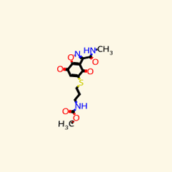 CNC(=O)c1noc2c1C(=O)C(SCCCNC(=O)OC)=CC2=O